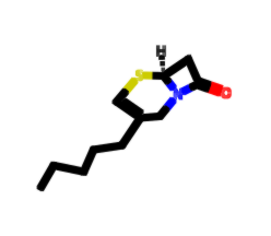 CCCCCC1=CS[C@H]2CC(=O)N2C1